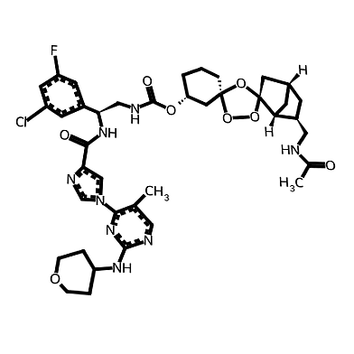 CC(=O)NC[C@@H]1C[C@@H]2C[C@H]1[C@]1(C2)OO[C@]2(CCC[C@@H](OC(=O)NC[C@@H](NC(=O)c3cn(-c4nc(NC5CCOCC5)ncc4C)cn3)c3cc(F)cc(Cl)c3)C2)O1